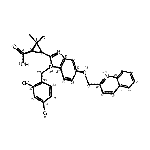 CC1(C)C(C(=O)O)C1c1nc2cc(OCc3ccc4ccccc4n3)ccc2n1Cc1ccc(Cl)cc1Cl